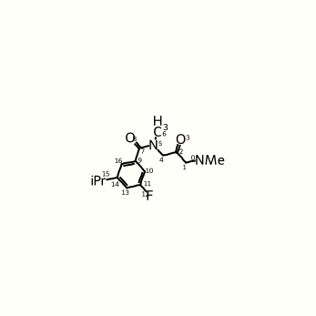 CNCC(=O)CN(C)C(=O)c1cc(F)cc(C(C)C)c1